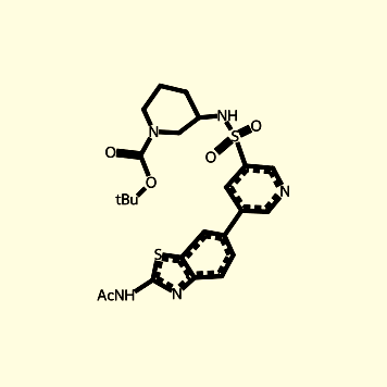 CC(=O)Nc1nc2ccc(-c3cncc(S(=O)(=O)NC4CCCN(C(=O)OC(C)(C)C)C4)c3)cc2s1